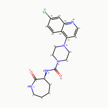 O=C1NCCCC[C@@H]1NC(=O)N1CCN(c2ccnc3cc(Cl)ccc23)CC1